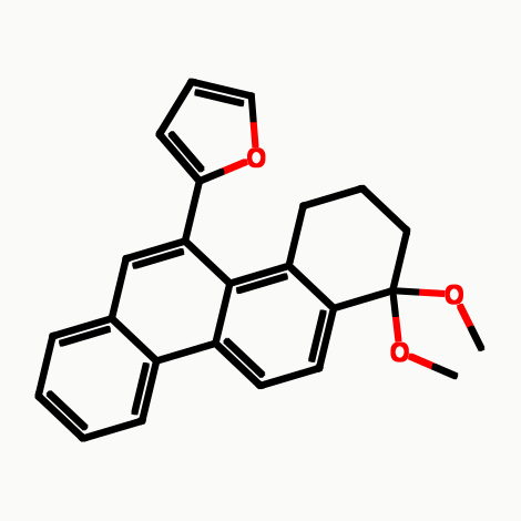 COC1(OC)CCCc2c1ccc1c2c(-c2ccco2)cc2ccccc21